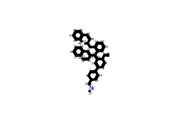 C=CC1C=CC(C2=CCC(/C=N/C)C=C2)=C\C1=C(C(/C=C\C)=C/c1ccccc1)\c1ccccc1CC(C)/C=C\c1ccccc1C